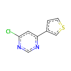 Clc1cc(-c2ccsc2)ncn1